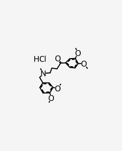 COc1ccc(CN(C)CCCC(=O)c2ccc(OC)c(OC)c2)cc1OC.Cl